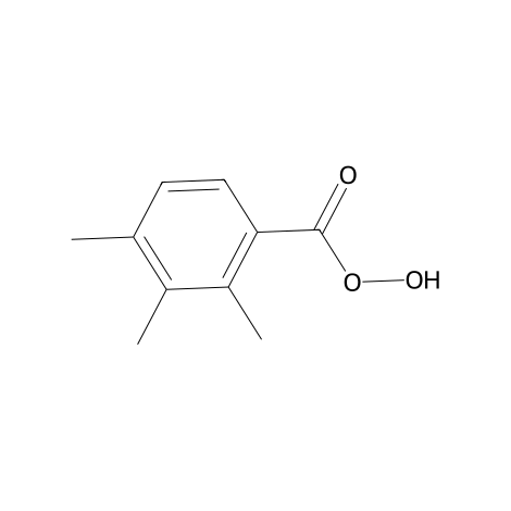 Cc1ccc(C(=O)OO)c(C)c1C